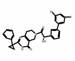 O=C([C@H](O)c1cccc(-c2cc(F)cc(Cl)c2)c1)N1CCc2nc(C3(c4ccccc4)CC3)[nH]c(=O)c2C1